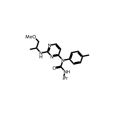 COCC(C)Nc1nccc(N(C(=O)NC(C)C)c2ccc(C)cc2)n1